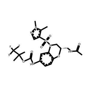 CC(=O)NC[C@H]1CN(S(=O)(=O)c2cnn(C)c2C)c2cc(NC(=O)OC(C)(C)C(F)(F)F)ccc2O1